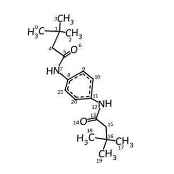 CC(C)(C)CC(=O)Nc1ccc(NC(=O)CC(C)(C)C)cc1